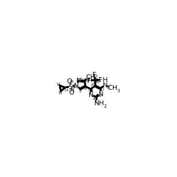 CNc1nc(N)nc(-c2cn(S(=O)(=O)C3CC3)nc2C)c1C(F)(F)F